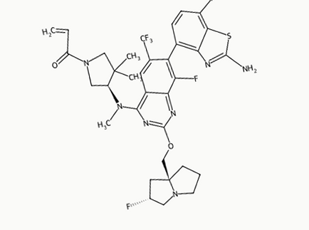 C=CC(=O)N1C[C@H](N(C)c2nc(OC[C@@]34CCCN3C[C@H](F)C4)nc3c(F)c(-c4ccc(F)c5sc(N)nc45)c(C(F)(F)F)cc23)C(C)(C)C1